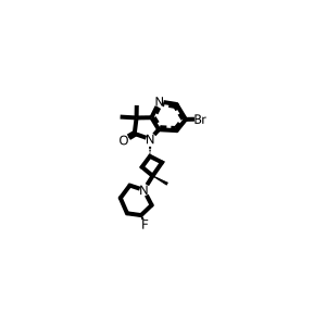 CC1(C)C(=O)N([C@H]2C[C@@](C)(N3CCC[C@@H](F)C3)C2)c2cc(Br)cnc21